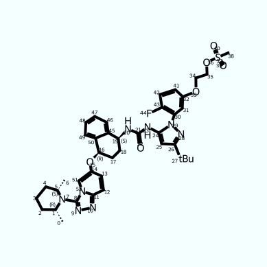 C[C@@H]1CCC[C@H](C)N1c1nnc2ccc(O[C@@H]3CC[C@H](NC(=O)Nc4cc(C(C)(C)C)nn4-c4cc(OCCOS(C)(=O)=O)ccc4F)c4ccccc43)cn12